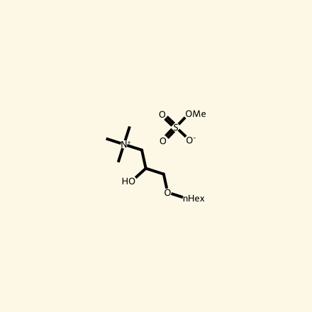 CCCCCCOCC(O)C[N+](C)(C)C.COS(=O)(=O)[O-]